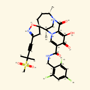 C[C@H]1CC[C@]2(CC(C#CC(C)(C)S(C)(=O)=O)=NO2)[C@H]2CN1C(=O)c1c(O)c(=O)c(C(=O)NCc3c(F)cc(F)cc3F)cn12